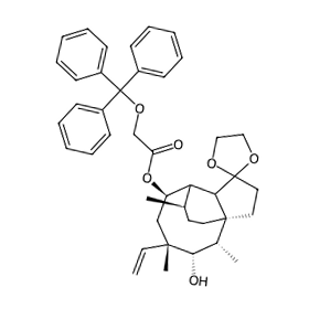 C=C[C@]1(C)C[C@@H](OC(=O)COC(c2ccccc2)(c2ccccc2)c2ccccc2)C2C3C4(CC[C@@]3(CC[C@H]2C)[C@H](C)[C@@H]1O)OCCO4